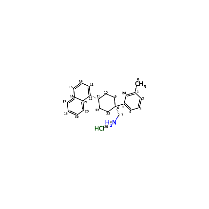 Cc1cccc([C@]2(CN)CC[C@@H](c3cccc4ccccc43)CC2)c1.Cl